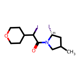 CC1C[C@@H](I)N(C(=O)C(I)C2CCOCC2)C1